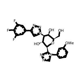 COc1cccc(-n2cnnc2[C@@H]2O[C@H](CO)[C@H](O)[C@H](n3cc(-c4cc(F)c(F)c(F)c4)nn3)[C@H]2O)c1